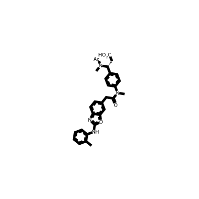 CC(=O)N(C)[C@H](CC(=O)O)c1ccc(N(C)C(=O)Cc2ccc3nc(Nc4ccccc4C)oc3c2)cc1